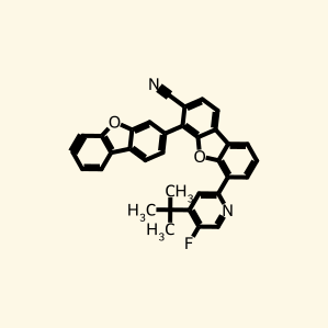 CC(C)(C)c1cc(-c2cccc3c2oc2c(-c4ccc5c(c4)oc4c#cccc45)c(C#N)ccc23)ncc1F